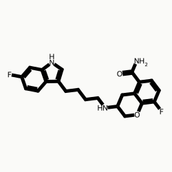 NC(=O)c1ccc(F)c2c1CC(NCCCCc1c[nH]c3cc(F)ccc13)CO2